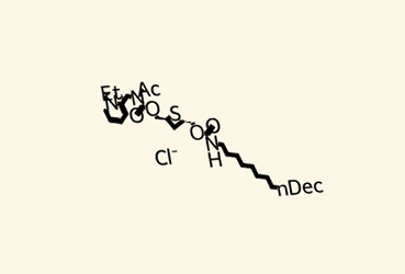 CCCCCCCCCCCCCCCCCCNC(=O)OC[C@@H]1C[C@@H](COC(=O)N(Cc2cccc[n+]2CC)C(C)=O)S1.[Cl-]